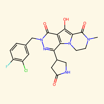 CN1CCn2c(c(O)c3c(=O)n(Cc4ccc(F)c(Cl)c4)nc(C4CNC(=O)C4)c32)C1=O